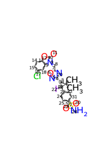 CC1(C)[C@@H](c2noc(Cn3c(=O)oc4ccc(Cl)cc43)n2)[C@@]1(I)c1ccc(S(N)(=O)=O)cc1